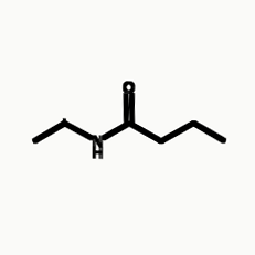 C[CH]NC(=O)CCC